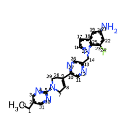 CCc1cnc(N2CC=C(c3cnc(Cn4ccc5cc(N)cc(F)c54)cn3)CC2)nc1